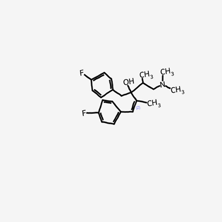 C/C(=C/c1ccc(F)cc1)C(O)(Cc1ccc(F)cc1)C(C)CN(C)C